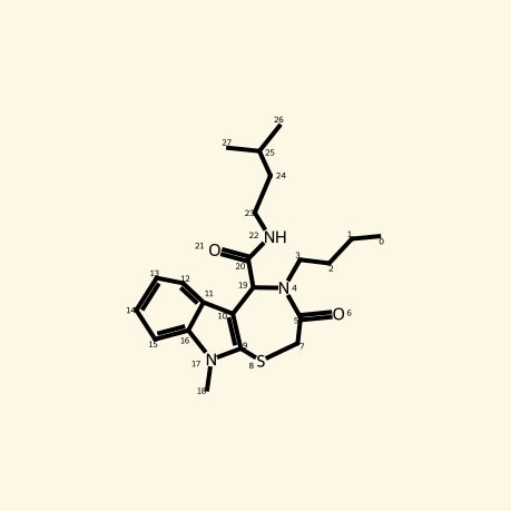 CCCCN1C(=O)CSc2c(c3ccccc3n2C)C1C(=O)NCCC(C)C